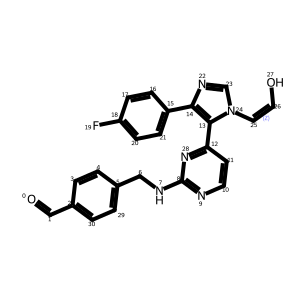 O=Cc1ccc(CNc2nccc(-c3c(-c4ccc(F)cc4)ncn3/C=C\O)n2)cc1